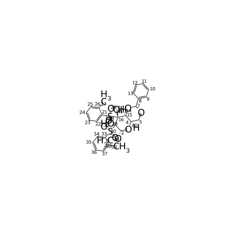 CO[C@H]1O[C@@H]2COC(c3ccccc3)O[C@@H]2[C@@](O)(S(=O)(=O)c2ccccc2C)[C@]1(O)S(=O)(=O)c1ccccc1C